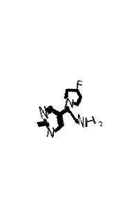 Cc1ncc(C(CN)N2CCC(F)CC2)cn1